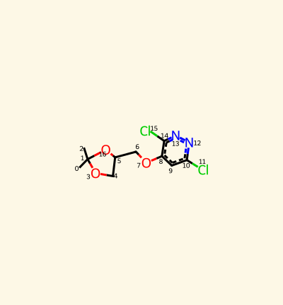 CC1(C)OCC(COc2cc(Cl)nnc2Cl)O1